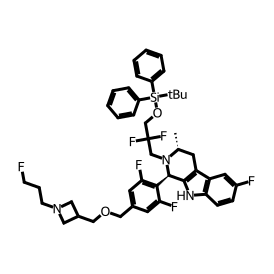 C[C@@H]1Cc2c([nH]c3ccc(F)cc23)[C@@H](c2c(F)cc(COCC3CN(CCCF)C3)cc2F)N1CC(F)(F)CO[Si](c1ccccc1)(c1ccccc1)C(C)(C)C